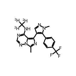 [2H]C([2H])([2H])Nc1ncnn2c(C)nc(-c3cnn(C)c3-c3ccc(C(F)(F)F)cc3)c12